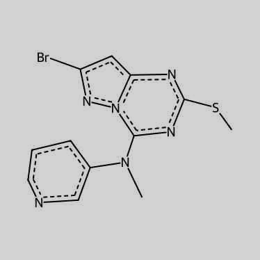 CSc1nc(N(C)c2cccnc2)n2nc(Br)cc2n1